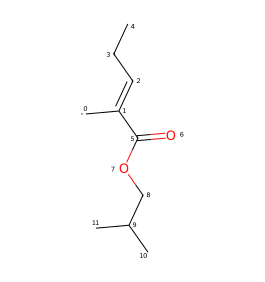 [CH2]/C(=C\CC)C(=O)OCC(C)C